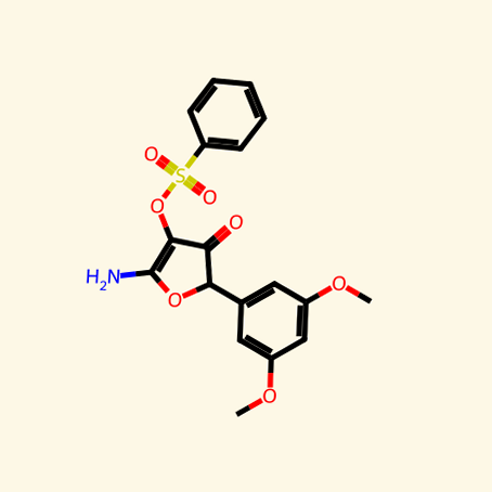 COc1cc(OC)cc(C2OC(N)=C(OS(=O)(=O)c3ccccc3)C2=O)c1